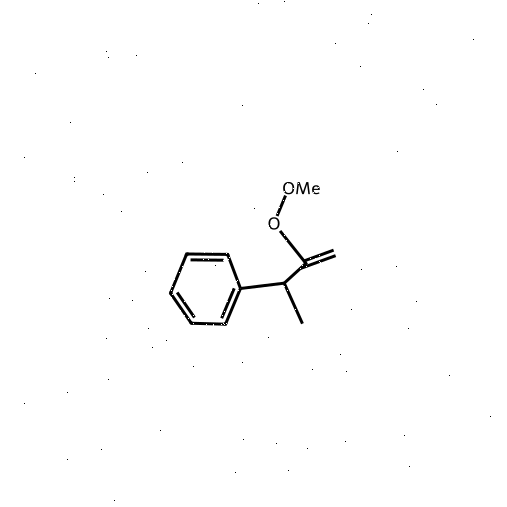 C=C(OOC)C(C)c1ccccc1